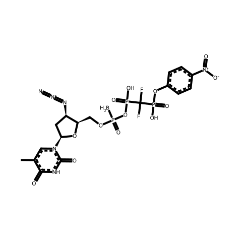 BP(=O)(OC[C@H]1O[C@@H](n2cc(C)c(=O)[nH]c2=O)C[C@H]1N=[N+]=[N-])OP(=O)(O)C(F)(F)P(=O)(O)Oc1ccc([N+](=O)[O-])cc1